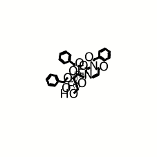 CC[C@]1(OC(=O)c2ccccc2)[C@H](n2ccc(=O)n(C(=O)c3ccccc3)c2=O)O[C@](F)(CO)[C@H]1OC(=O)c1ccccc1